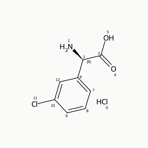 Cl.N[C@@H](C(=O)O)c1cccc(Cl)c1